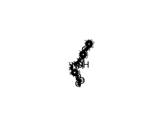 COC(=O)COc1ccc(C[C@@H](C)NC[C@H](O)COc2ccc(OCc3ccccc3)cc2)cc1